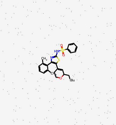 Cc1cccc(C)c1-c1nc(NS(=O)(=O)c2ccccc2)sc1C1=CC(CC(C)(C)C)OCC1